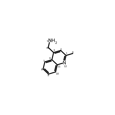 Cc1cc([CH]N)c2ccccc2n1